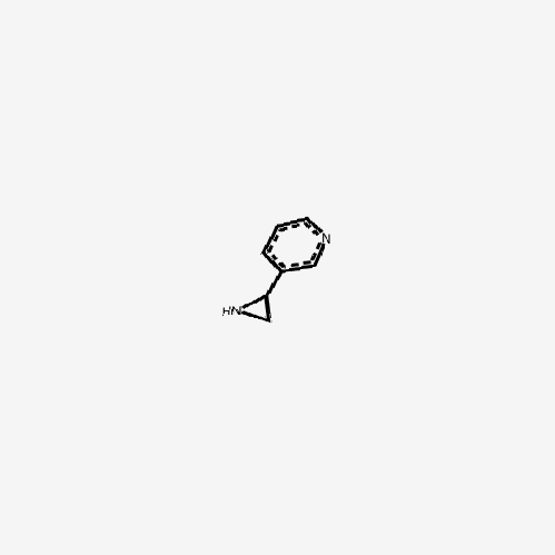 c1cncc(C2CN2)c1